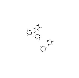 CCc1c(Sc2cc(C)cc(C)c2)[nH]c(=O)[nH]c1=O.CCc1c(Sc2cc(C)cc(C)c2)n(Cc2cc(C)cc(C)c2)c(=O)[nH]c1=O